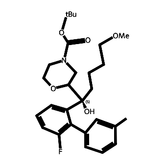 COCCCC[C@](O)(c1cccc(F)c1-c1cccc(C)c1)C1CN(C(=O)OC(C)(C)C)CCO1